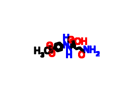 CS(=O)(=O)c1ccc(NN[C@@H](CCC(N)=O)C(=O)O)cc1